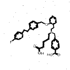 O=C(O)CCCCN(CCc1ccccc1OCc1ccc(CCc2ccc(F)cc2)cc1)Cc1ccc(C(=O)O)cc1